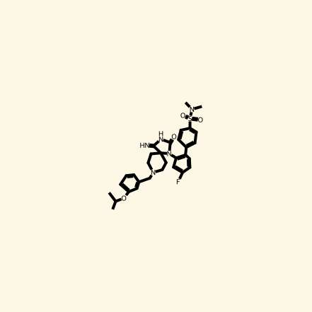 CC(C)Oc1cccc(CN2CCC3(CC2)C(=N)NC(=O)N3c2cc(F)ccc2-c2ccc(S(=O)(=O)N(C)C)cc2)c1